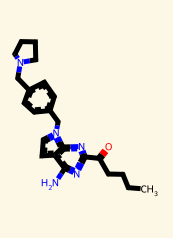 CCCCC(=O)c1nc(N)c2ccn(Cc3ccc(CN4CCCC4)cc3)c2n1